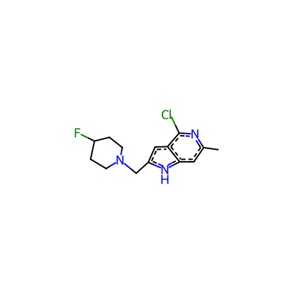 Cc1cc2[nH]c(CN3CCC(F)CC3)cc2c(Cl)n1